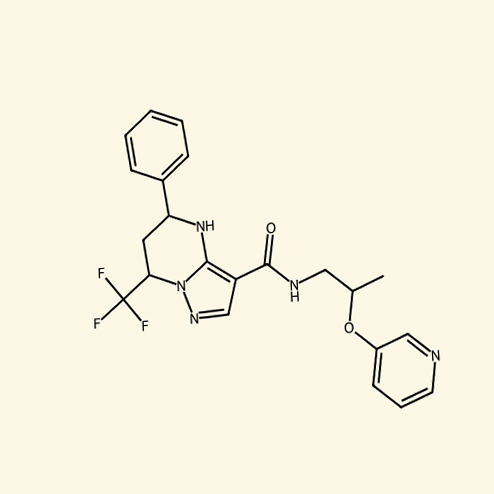 CC(CNC(=O)c1cnn2c1NC(c1ccccc1)CC2C(F)(F)F)Oc1cccnc1